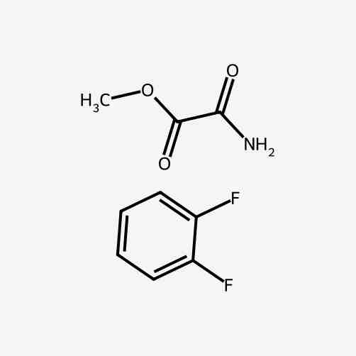 COC(=O)C(N)=O.Fc1ccccc1F